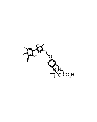 Cc1oc(-c2cc(F)c(C)c(F)c2F)nc1CCOc1cccc(CN(CC(=O)O)S(=O)(=O)N(C)C)c1